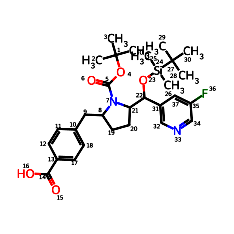 CC(C)(C)OC(=O)N1C(Cc2ccc(C(=O)O)cc2)CCC1C(O[Si](C)(C)C(C)(C)C)c1cncc(F)c1